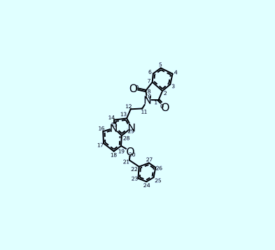 O=C1c2ccccc2C(=O)N1CCc1cn2cccc(OCc3ccccc3)c2n1